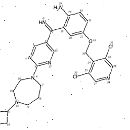 N=C(c1cnc(N2CCCN(C3COC3)CC2)nc1)c1cc(OCc2c(Cl)cncc2Cl)ccc1N